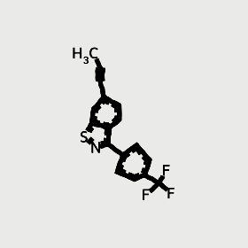 CC#Cc1ccc2c(-c3ccc(C(F)(F)F)cc3)nsc2c1